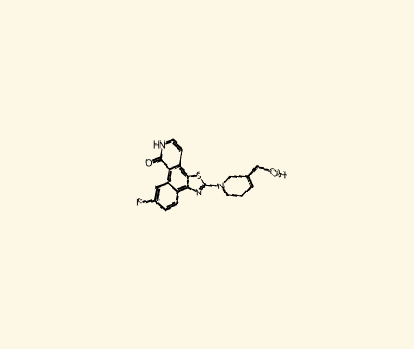 O=c1[nH]ccc2c3sc(N4CCCC(CO)C4)nc3c3ccc(F)cc3c12